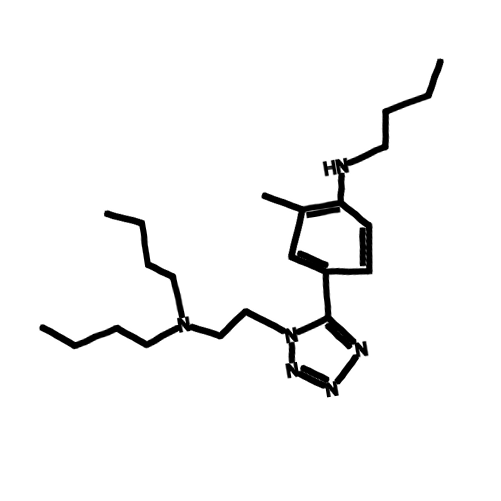 CCCCNc1ccc(-c2nnnn2CCN(CCCC)CCCC)cc1C